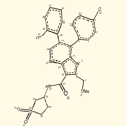 COCc1nn2c(-c3ccc(Cl)cc3)c(-c3ccccc3Cl)cnc2c1C(=O)NC1CCS(=O)(=O)C1